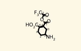 NC1CCC(C(=O)O)=C(C(=O)OC(=O)C(F)(F)F)C1